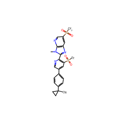 CCS(=O)(=O)c1cc(-c2ccc(C3(C#N)CC3)cc2)cnc1-c1nc2cc(S(=O)(=O)C(F)(F)F)cnc2n1C